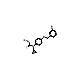 CC(C)(C)OC(=O)N(c1ccc(OCc2cccc(Br)c2)cc1)C1CC1